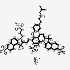 C=C(C)CNCCc1ccc(OC2=C(/C=C/C3=[N+](CCCS(=O)(=O)[O-])c4ccc5cc(S(=O)(=O)[O-])ccc5c4C3(C)C)CCC/C2=C\C=C2/N(CCCS(=O)(=O)[O-])c3ccc4cc(S(=O)(=O)[O-])ccc4c3C2(C)C)cc1.[K+].[K+].[Na+]